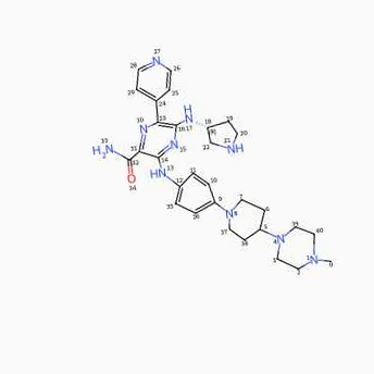 CN1CCN(C2CCN(c3ccc(Nc4nc(N[C@@H]5CCNC5)c(-c5ccncc5)nc4C(N)=O)cc3)CC2)CC1